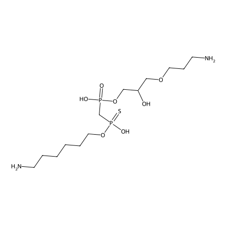 NCCCCCCOP(O)(=S)CP(=O)(O)OCC(O)COCCCN